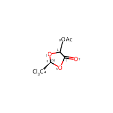 CC(=O)OC1O[C@H](C(Cl)(Cl)Cl)OC1=O